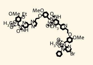 CCOc1cc([C@@H](CS(C)(=O)=O)n2c(=O)[nH]c3cc(-c4nccc(CCOc5cc([C@@H](CS(C)(=O)=O)n6c(=O)[nH]c7cc(-c8ccc(CCOc9cc([C@@H](CS(C)(=O)=O)n%10c(=O)n(-c%11ccccc%11)c%11cc(Br)cnc%11%10)ccc9OC)nc8)cnc76)ccc5OC)n4)cnc32)ccc1OC